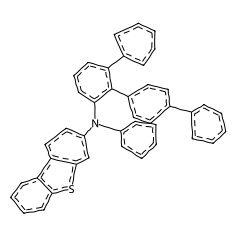 c1ccc(-c2ccc(-c3c(-c4ccccc4)cccc3N(c3ccccc3)c3ccc4c(c3)sc3ccccc34)cc2)cc1